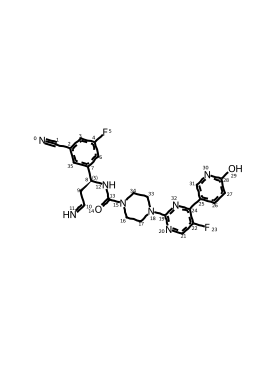 N#Cc1cc(F)cc([C@H](CC=N)NC(=O)N2CCN(c3ncc(F)c(-c4ccc(O)nc4)n3)CC2)c1